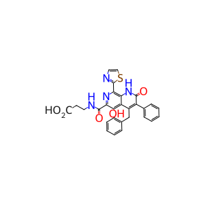 O=C(O)CCNC(=O)c1nc(-c2nccs2)c2[nH]c(=O)c(-c3ccccc3)c(Cc3ccccc3)c2c1O